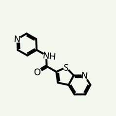 O=C(Nc1ccncc1)c1cc2cccnc2s1